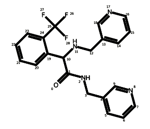 O=C(NCc1cccnc1)C(NCc1cccnc1)c1ccccc1C(F)(F)F